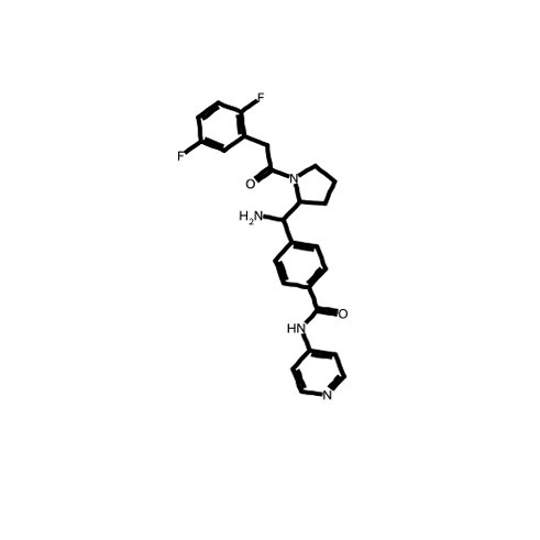 NC(c1ccc(C(=O)Nc2ccncc2)cc1)C1CCCN1C(=O)Cc1cc(F)ccc1F